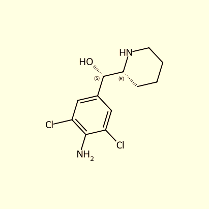 Nc1c(Cl)cc([C@H](O)[C@H]2CCCCN2)cc1Cl